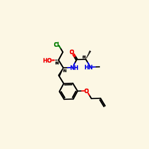 C=CCOc1cccc(C[C@H](NC(=O)[C@H](C)NC)[C@H](O)CCl)c1